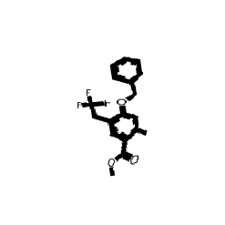 COC(=O)c1cc(CC(F)(F)F)c(OCc2ccccc2)cc1C